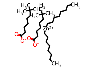 CC(C)(C)CCCCCC(=O)[O-].CC(C)(C)CCCCCC(=O)[O-].CCCCCCC[CH2][Zn+2][CH2]CCCCCCC